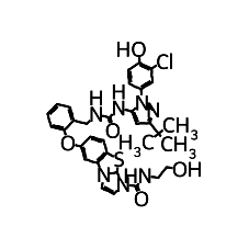 CC(C)(C)c1cc(NC(=O)NCc2ccccc2Oc2ccc3c(c2)N2C=CN(C(=O)NCCO)C2S3)n(-c2ccc(O)c(Cl)c2)n1